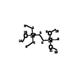 CC[Si](CC)(CC[Si](C)(OC)OC)OC